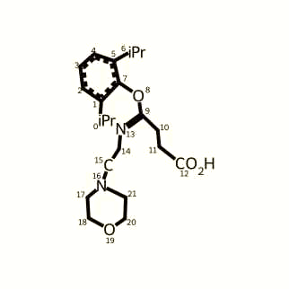 CC(C)c1cccc(C(C)C)c1OC(CCC(=O)O)=NCCN1CCOCC1